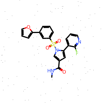 CNC(=O)c1cc(-c2cccnc2F)n(S(=O)(=O)c2cccc(-c3ccco3)c2)c1